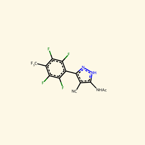 CC(=O)Nc1[nH]nc(-c2c(F)c(F)c(C(F)(F)F)c(F)c2F)c1C#N